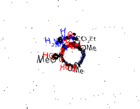 C#C[C@H](CC(=O)OCC)NC(=O)CCC(=O)Nc1ccc(C(=N)N)cc1.CO[C@H]1C[C@@H]2CC[C@@H](C)[C@@](O)(O2)C(=O)C(=O)N2CCCC[C@H]2C(=O)O[C@H]([C@H](C)C[C@@H]2CC[C@@H](O)[C@H](OC)C2)CC(=O)[C@H](C)/C=C(\C)[C@@H](O)[C@@H](OC)C(=O)[C@H](C)C[C@H](C)/C=C/C=C/C=C/1C